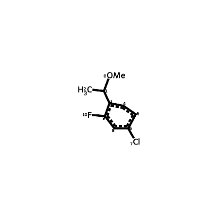 COC(C)c1ccc(Cl)cc1F